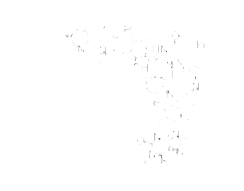 C=CCC1(CC(C)C)C(=O)NC(=O)NC1=O.CC(CN1c2ccccc2Sc2ccccc21)N(C)C.CC[C@@H](c1cccc(O)c1)[C@@H](C)CN(C)C.Cn1c(=O)c2c(ncn2C)n(C)c1=O.O=C(O)c1cccnc1